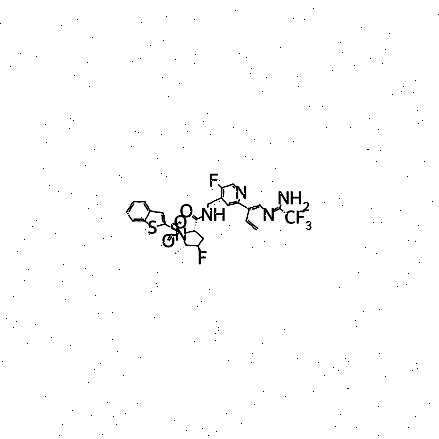 C=C/C(=C\N=C(/N)C(F)(F)F)c1cc(CNC(=O)[C@@H]2C[C@@H](F)[C@H](C)N2S(=O)(=O)c2cc3ccccc3s2)c(F)cn1